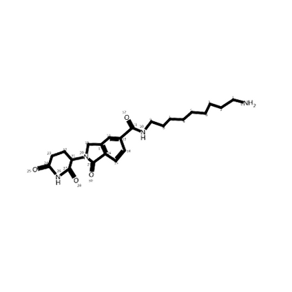 NCCCCCCCCCNC(=O)c1ccc2c(c1)CN(C1CCC(=O)NC1=O)C2=O